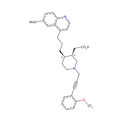 COc1ccc2nccc(CCC[C@@H]3CCN(CC#Cc4ccccc4OC(F)(F)F)C[C@@H]3CC(=O)O)c2c1